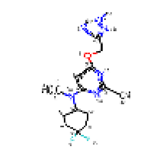 Cn1cnc(COc2cc(N(C(=O)O)C3CCC(F)(F)CC3)nc(C#N)n2)n1